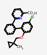 CC1(COc2ccc(Br)cc2-c2ccccc2-c2cccc(C(=O)O)n2)CC1